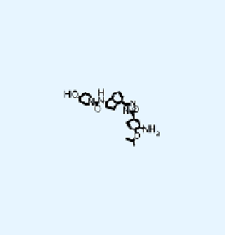 CC(C)Oc1ccc(-c2nc(-c3cccc4c3CC[C@@H]4NC(=O)N3CCC(O)CC3)no2)cc1N